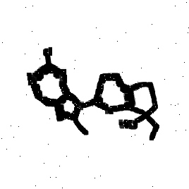 CCC1(O)CCc2ccc(-n3c(C)cc4cnc(Cl)nc43)nc21